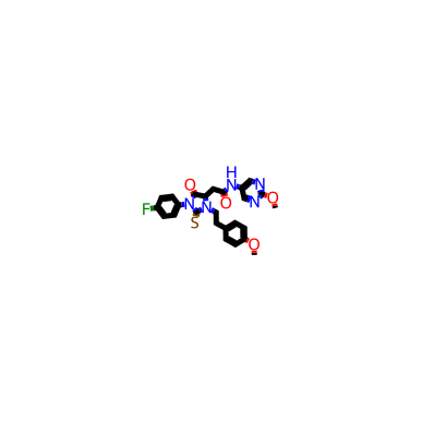 COc1ccc(CCN2C(=S)N(c3ccc(F)cc3)C(=O)C2CC(=O)Nc2cnc(OC)nc2)cc1